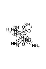 N=C(N)NCCCC(NC(=O)C(Cc1ccccc1)NC(=O)C(Cc1c[nH]cn1)NC(=O)C(N)CCCCN)C(=O)NC(Cc1c[nH]c2ccccc12)C(=O)NCC(N)=O